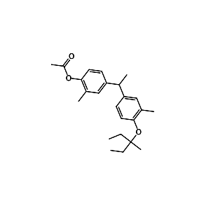 CCC(C)(CC)Oc1ccc(C(C)c2ccc(OC(C)=O)c(C)c2)cc1C